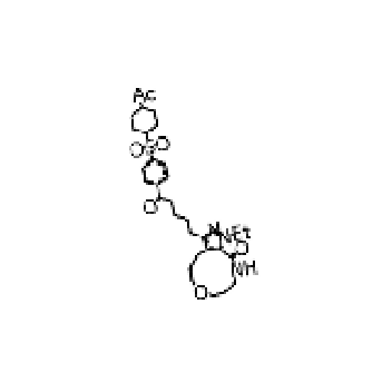 CCn1nc(CCCCC(=O)c2ccc(S(=O)(=O)C3CCC(C(C)=O)CC3)cc2)c2c1C(=O)NCCCOCCC2